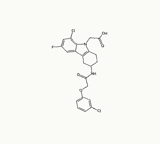 O=C(O)Cn1c2c(c3cc(F)cc(Cl)c31)CC(NC(=O)COc1cccc(Cl)c1)CC2